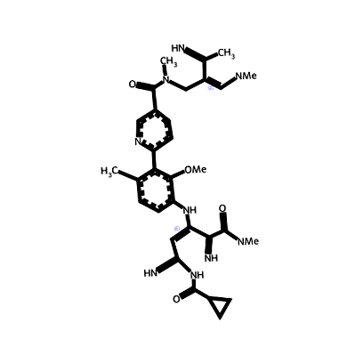 CN/C=C(/CN(C)C(=O)c1ccc(-c2c(C)ccc(N/C(=C/C(=N)NC(=O)C3CC3)C(=N)C(=O)NC)c2OC)nc1)C(C)=N